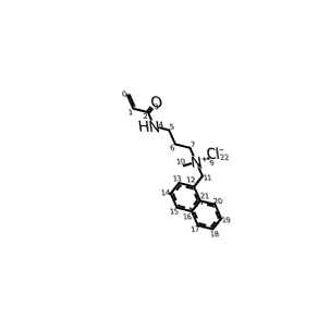 C=CC(=O)NCCC[N+](C)(C)Cc1cccc2ccccc12.[Cl-]